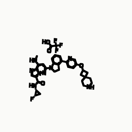 CNc1cc(N2CCc3c(-c4ccc(OC5CC6(CCNCC6)C5)cn4)cccc32)nn2c(C(=O)N[C@@H]3C[C@@H]3F)cnc12.O=C(O)C(F)(F)F